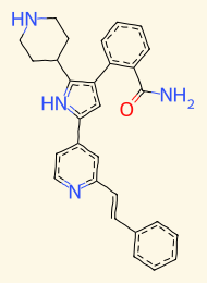 NC(=O)c1ccccc1-c1cc(-c2ccnc(/C=C/c3ccccc3)c2)[nH]c1C1CCNCC1